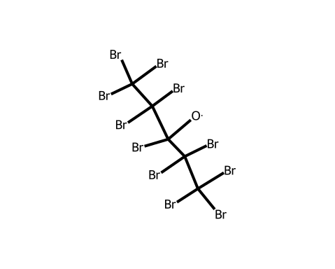 [O]C(Br)(C(Br)(Br)C(Br)(Br)Br)C(Br)(Br)C(Br)(Br)Br